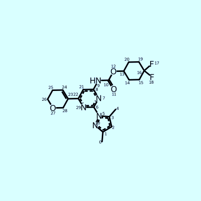 Cc1cc(C)n(-c2nc(NC(=O)OC3CCC(F)(F)CC3)cc(C3=CCCOC3)n2)n1